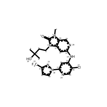 Cn1c(=O)n(CCC(C)(C)O)c2cc(Nc3cc(-n4ccc(C(F)(F)F)n4)ncc3Cl)ncc21